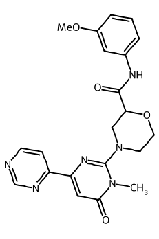 COc1cccc(NC(=O)C2CN(c3nc(-c4ccncn4)cc(=O)n3C)CCO2)c1